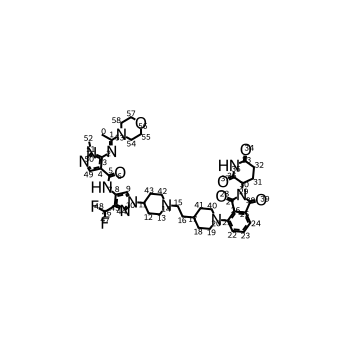 C/C(=N\c1c(C(=O)Nc2cn(C3CCN(CCC4CCN(c5cccc6c5C(=O)N(C5CCC(=O)NC5=O)C6=O)CC4)CC3)nc2C(F)F)cnn1C)N1CCOCC1